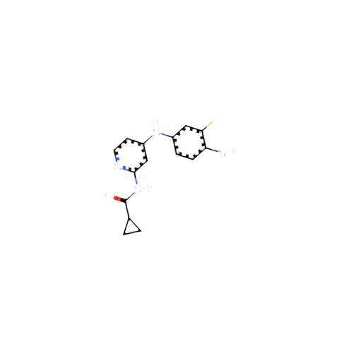 O=C(Nc1cc(Nc2ccc([N+](=O)[O-])c(F)c2)ccn1)C1CC1